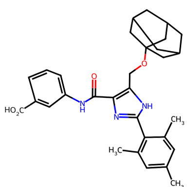 Cc1cc(C)c(-c2nc(C(=O)Nc3cccc(C(=O)O)c3)c(COC34CC5CC(CC(C5)C3)C4)[nH]2)c(C)c1